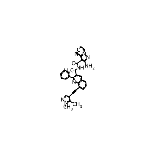 Cc1c(C#Cc2cccc3cc([C@H](C)NC(=O)c4c(N)nn5cccnc45)c(-c4ccccc4)nc23)cnn1C